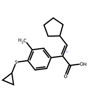 Cc1cc(/C(=C\C2CCCC2)C(=O)O)ccc1SC1CC1